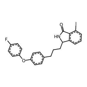 O=C1NC(CCCc2ccc(Oc3ccc(F)cc3)cc2)c2cccc(I)c21